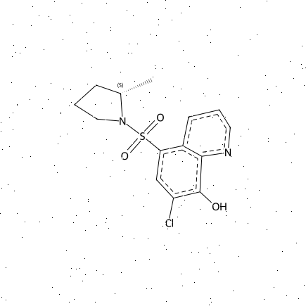 C[C@H]1CCCN1S(=O)(=O)c1cc(Cl)c(O)c2ncccc12